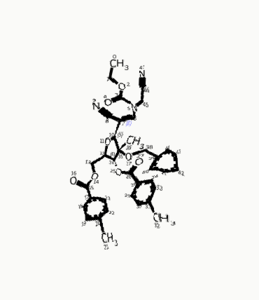 CCOC(=O)N(/C=C(\C#N)[C@@H]1OC(COC(=O)c2ccc(C)cc2)[C@@H](OC(=O)c2ccc(C)cc2)[C@@]1(C)OCc1ccccc1)CC#N